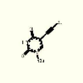 CCC#Cc1cn(C(C)(C)C)c(=O)[nH]c1=O